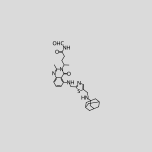 Cc1nc2cccc(NCc3ncc(CNC45CC6CC(CC(C6)C4)C5)s3)c2c(=O)n1C(C)CCC(=O)NC=O